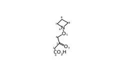 O=C(O)CC(=O)CON1CCC1